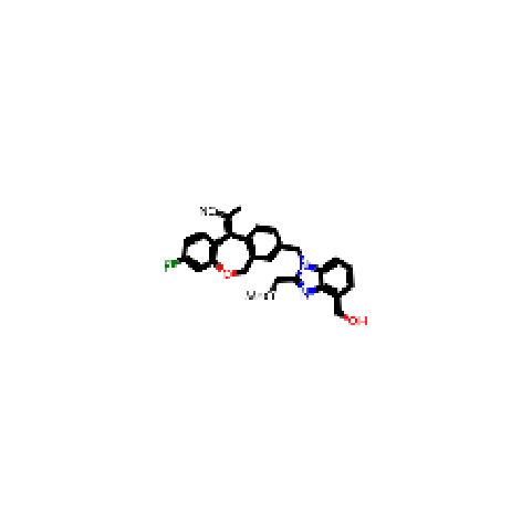 COCc1nc2c(CO)cccc2n1Cc1ccc2c(c1)COc1cc(F)ccc1/C2=C(/C)C#N